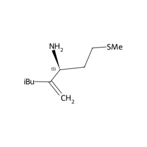 C=C(C(C)CC)[C@@H](N)CCSC